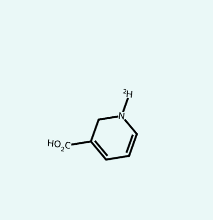 [2H]N1C=CC=C(C(=O)O)C1